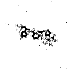 CC(C)CC(CNC(=O)c1cccc2nc(CN3CCC(N(C(=O)O)C(C)(C)C)C3)cn12)c1ccc(Cl)cc1